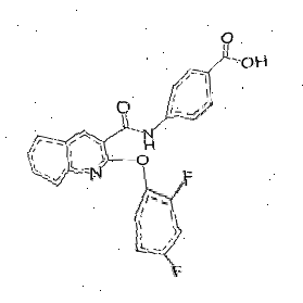 O=C(O)c1ccc(NC(=O)c2cc3ccccc3nc2Oc2ccc(F)cc2F)cc1